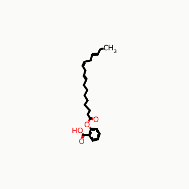 CC/C=C/C/C=C\C/C=C/CCCCCCCC(=O)Oc1ccccc1C(=O)O